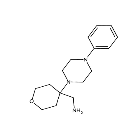 NCC1(N2CCN(c3ccccc3)CC2)CCOCC1